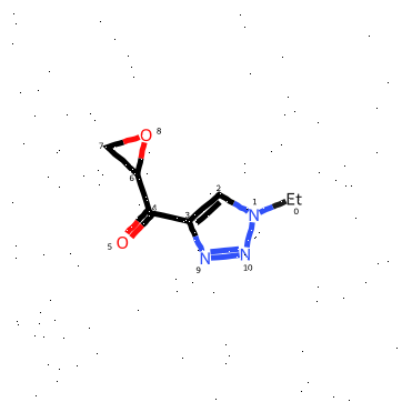 CCn1cc(C(=O)C2CO2)nn1